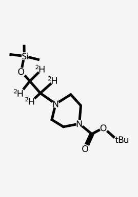 [2H]C([2H])(O[Si](C)(C)C)C([2H])([2H])N1CCN(C(=O)OC(C)(C)C)CC1